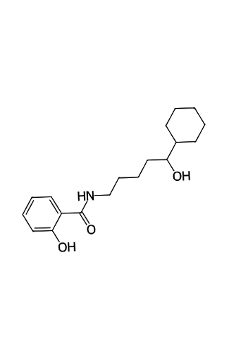 O=C(NCCCCC(O)C1CCCCC1)c1ccccc1O